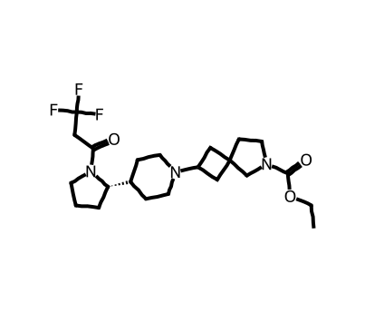 CCOC(=O)N1CCC2(CC(N3CCC([C@@H]4CCCN4C(=O)CC(F)(F)F)CC3)C2)C1